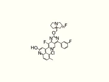 Cc1ccc2nc(O)cc(-c3ncc4c(-c5cccc(F)c5)nc(OC[C@@]56CCCN5C[C@H](F)C6)nc4c3F)c2c1Cl